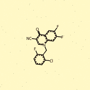 N#Cc1cn(Cc2c(F)cccc2Cl)c2cc(F)c(F)cc2c1=O